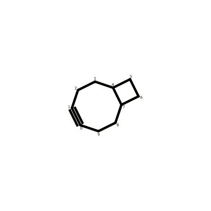 C1#CCCC2CCC2CC1